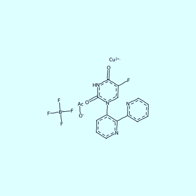 CC(=O)[O-].F[B-](F)(F)F.O=c1[nH]c(=O)n(-c2cccnc2-c2ccccn2)cc1F.[Cu+2]